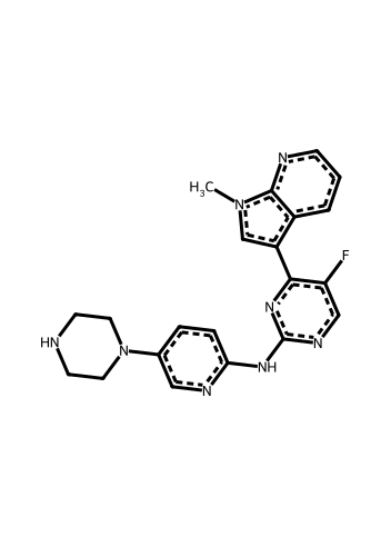 Cn1cc(-c2nc(Nc3ccc(N4CCNCC4)cn3)ncc2F)c2cccnc21